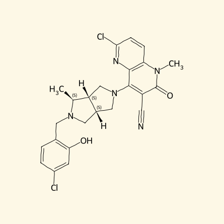 C[C@H]1[C@@H]2CN(c3c(C#N)c(=O)n(C)c4ccc(Cl)nc34)C[C@@H]2CN1Cc1ccc(Cl)cc1O